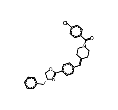 O=C(c1ccc(Cl)cc1)N1CCC(=Cc2ccc(C3=N[C@H](Cc4ccccc4)CO3)cc2)CC1